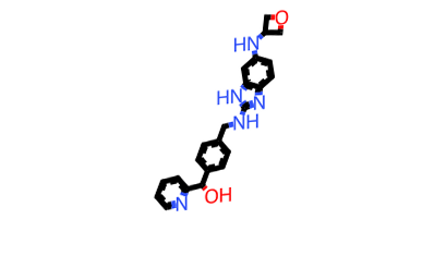 OC(c1ccc(CNc2nc3ccc(NC4COC4)cc3[nH]2)cc1)c1ccccn1